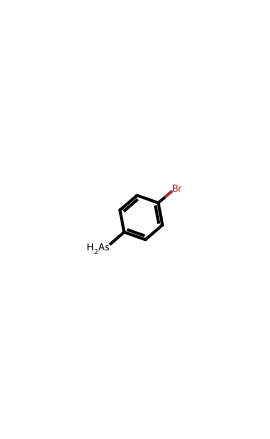 [AsH2]c1ccc(Br)cc1